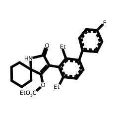 CCOC(=O)OC1=C(c2c(CC)ccc(-c3ccc(F)cc3)c2CC)C(=O)NC12CCCCC2